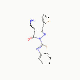 NC=C1C(=O)N(c2nc3ccccc3s2)N=C1c1cccs1